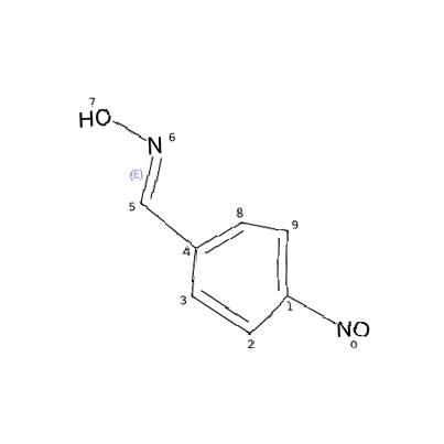 O=Nc1ccc(/C=N/O)cc1